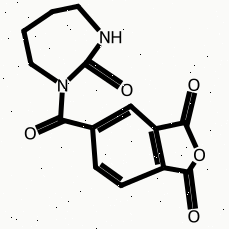 O=C1OC(=O)c2cc(C(=O)N3CCCCNC3=O)ccc21